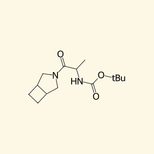 CC(NC(=O)OC(C)(C)C)C(=O)N1CC2CCC2C1